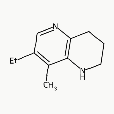 CCc1cnc2c(c1C)NCCC2